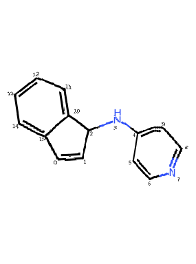 C1=CC(Nc2ccncc2)c2ccccc21